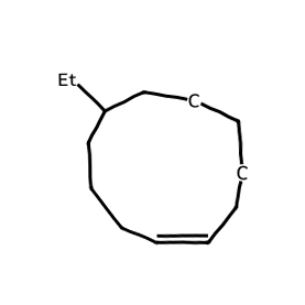 [CH2]CC1CCCC=CCCCCC1